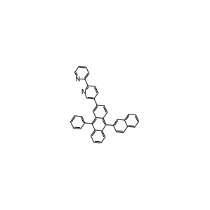 c1ccc(-c2c3ccccc3c(-c3ccc4ccccc4c3)c3ccc(-c4ccc(-c5ccccn5)nc4)cc23)cc1